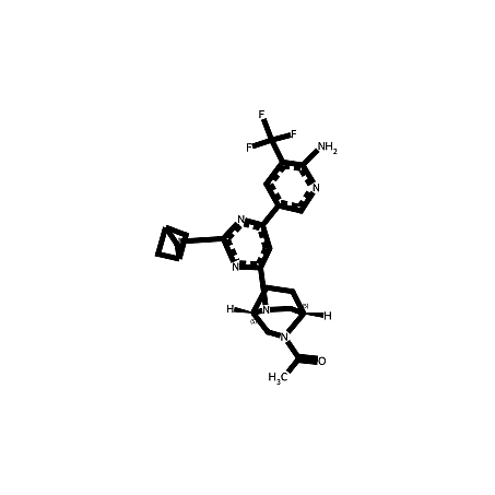 CC(=O)N1C[C@@H]2CC[C@H]1CN2c1cc(-c2cnc(N)c(C(F)(F)F)c2)nc(N2CC3CC2C3)n1